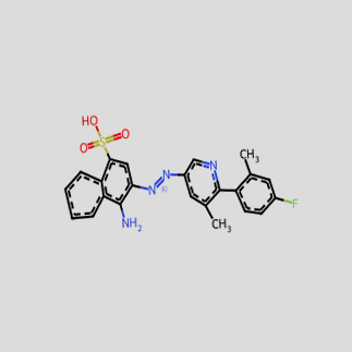 Cc1cc(F)ccc1-c1ncc(/N=N/c2cc(S(=O)(=O)O)c3ccccc3c2N)cc1C